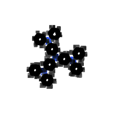 C1=CCC(N(c2ccccc2)c2ccc(N(c3ccc(N(c4ccccc4)c4ccccc4)cc3)c3ccc(N(c4ccccc4)c4ccccc4)cc3)cc2)C=C1